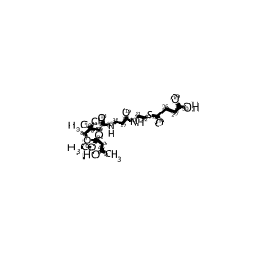 COC1(CC(C)O)OCC(C)(C)[C@H](C(=O)NCCC(=O)NCCSC(=O)CCC(=O)O)O1